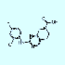 O=C(O)N1CCc2cnc(Nc3ccc(F)cc3Cl)nc2C1